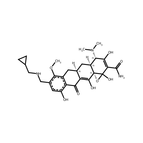 COc1c(CNCC2CC2)cc(O)c2c1C[C@H]1C[C@H]3[C@H](N(C)C)C(O)=C(C(N)=O)C4(O)O[C@]34C(O)=C1C2=O